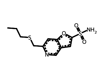 CCCSCc1cc2oc(S(N)(=O)=O)cc2cn1